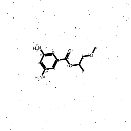 COCC(C)OC(=O)c1cc(N)cc(N)c1